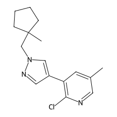 Cc1cnc(Cl)c(-c2cnn(CC3(C)CCCC3)c2)c1